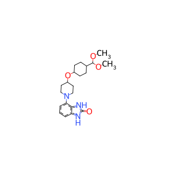 COC(OC)C1CCC(OC2CCN(c3cccc4[nH]c(=O)[nH]c34)CC2)CC1